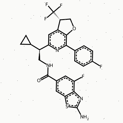 Nc1nc2c(F)cc(C(=O)NC[C@H](c3cc4c(c(-c5ccc(F)cc5)n3)OC[C@H]4C(F)(F)F)C3CC3)cc2s1